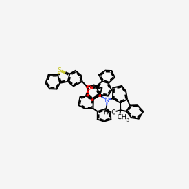 CC1(C)c2ccccc2-c2cccc(N(c3ccc(-c4ccc5sc6ccccc6c5c4)cc3)c3ccccc3-c3cccc4oc5c6ccccc6ccc5c34)c21